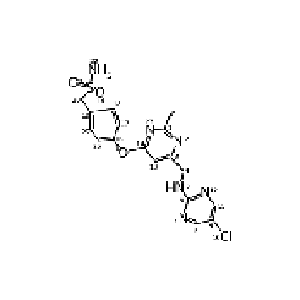 Cc1nc(CNc2ncc(Cl)cn2)cc(Oc2ccc(CS(N)(=O)=O)cc2)n1